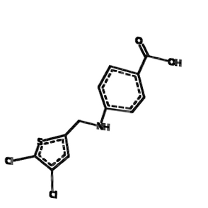 O=C(O)c1ccc(NCc2cc(Cl)c(Cl)s2)cc1